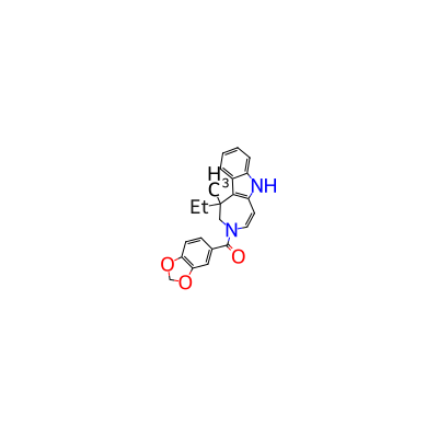 CCC1(C)CN(C(=O)c2ccc3c(c2)OCO3)C=Cc2[nH]c3ccccc3c21